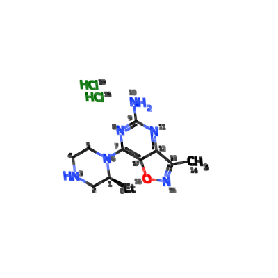 CC[C@H]1CNCCN1c1nc(N)nc2c(C)noc12.Cl.Cl